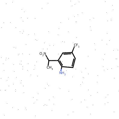 CC(c1cc(C(F)(F)F)ccc1N)[N+](=O)[O-]